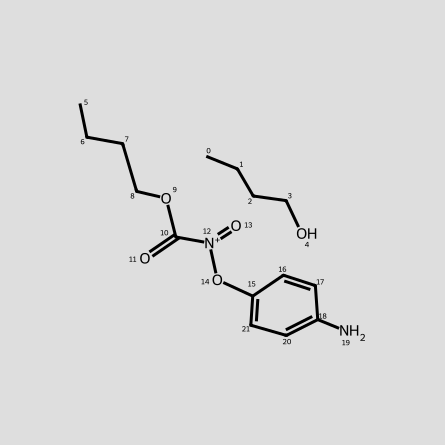 CCCCO.CCCCOC(=O)[N+](=O)Oc1ccc(N)cc1